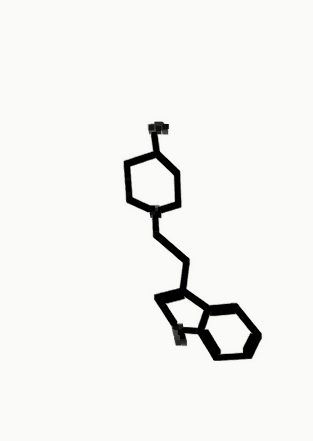 CCCC1CCN(CCc2c[nH]c3ccccc23)CC1